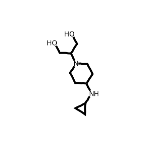 OCC(CO)N1CCC(NC2CC2)CC1